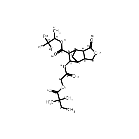 CCC(C)(C)C(=O)OCC(=O)OC1C2CC(C3C(=O)OCC23)C1C(=O)OC(C)C(F)(F)F